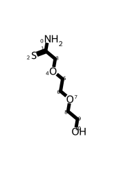 NC(=S)COCCOCCO